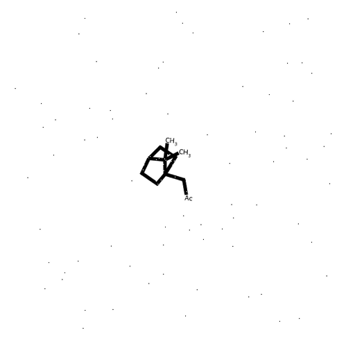 CC(=O)CC12CCC(CC1)C2(C)C